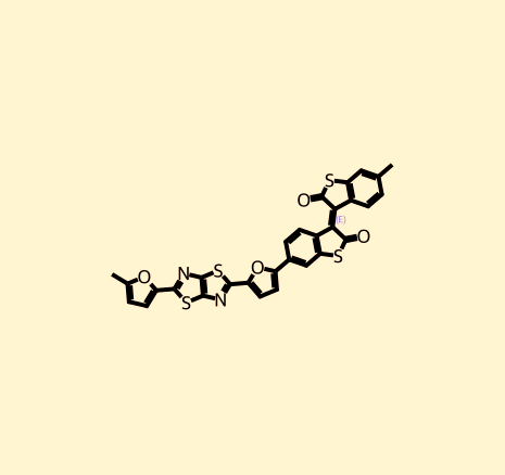 Cc1ccc2c(c1)SC(=O)/C2=C1/C(=O)Sc2cc(-c3ccc(-c4nc5sc(-c6ccc(C)o6)nc5s4)o3)ccc21